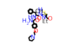 CCC(=O)c1csc(NC(=O)[C@@H](NC(=O)C(N)c2ccc(OCCN3CCCCC3)cc2)[C@@H](C)c2ccccc2)n1